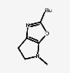 CCC(C)c1nc2c(o1)N(C)CC2